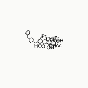 CC(=O)C1=C(O)C(C(C)C)[C@@]2(C)C[C@@]3(C)Cc4c(C(C)C)cc(CC5CCC(Cc6ccccc6)CC5)c(O)c4C(=O)C3=C(O)[C@@]2(O)C1=O